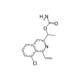 C=Cc1nc(C(C)OC(N)=O)cc2cccc(Cl)c12